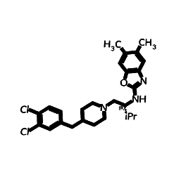 Cc1cc2nc(N[C@@H](CN3CCC(Cc4ccc(Cl)c(Cl)c4)CC3)C(C)C)oc2cc1C